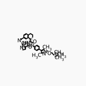 Cc1nn(COCC[Si](C)(C)C)c(C)c1-c1ccc(NC(=O)[C@@H](NC(=O)c2ccnn2C)[C@H]2CCCc3ccc(C#N)cc32)cc1